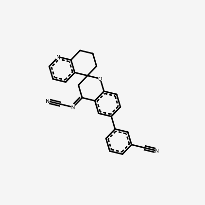 N#CN=C1CC2(CCCc3ncccc32)Oc2ccc(-c3cccc(C#N)c3)cc21